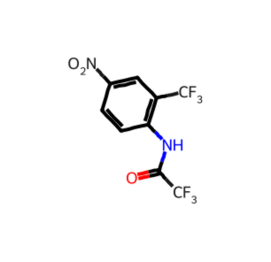 O=C(Nc1ccc([N+](=O)[O-])cc1C(F)(F)F)C(F)(F)F